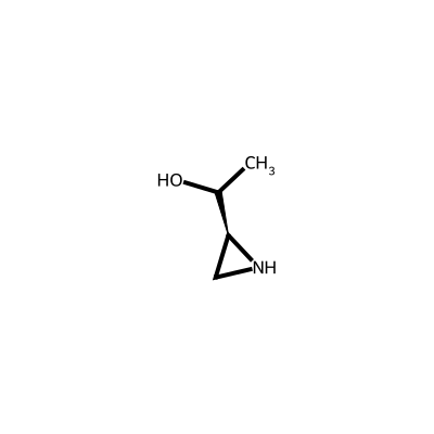 CC(O)[C@@H]1CN1